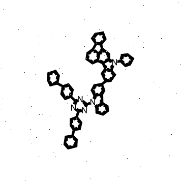 c1ccc(-c2ccc(-c3nc(-c4ccc(-c5ccccc5)cc4)nc(-n4c5ccccc5c5cc(-c6ccc7c(c6)c6c8cccc9c8c(cc6n7-c6ccccc6)-c6ccccc6-9)ccc54)n3)cc2)cc1